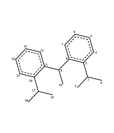 CC(C)c1ccccc1C(C)c1ccccc1C(C)C